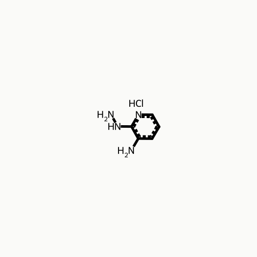 Cl.NNc1ncccc1N